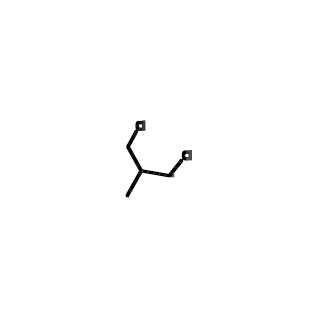 CC([CH]Cl)CCl